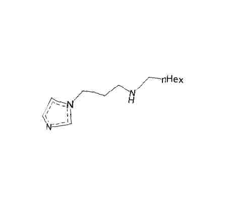 CCCCCCCNCCCn1ccnc1